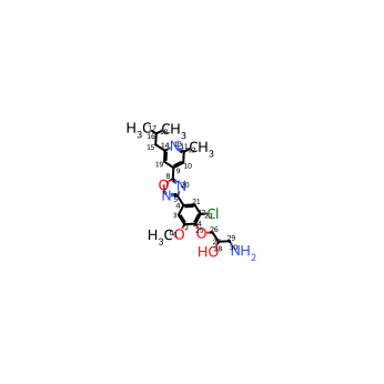 COc1cc(-c2noc(-c3cc(C)nc(CC(C)C)c3)n2)cc(Cl)c1OCC(O)CN